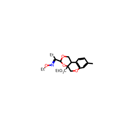 CCON=C(CC)C1OCC2c3ccc(C)cc3OCC2(C(=O)OCC)O1